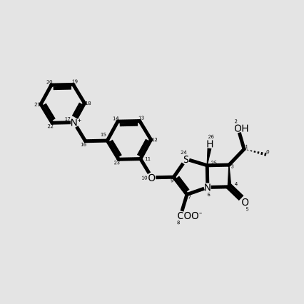 C[C@@H](O)[C@H]1C(=O)N2C(C(=O)[O-])=C(Oc3cccc(C[n+]4ccccc4)c3)S[C@H]12